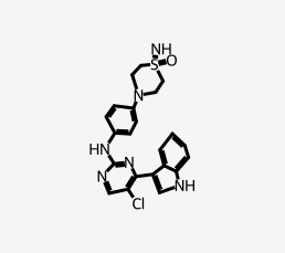 N=S1(=O)CCN(c2ccc(Nc3ncc(Cl)c(-c4c[nH]c5ccccc45)n3)cc2)CC1